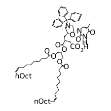 CCCCCCCC/C=C\CCCCCCCC(=O)OCC(COC(=O)CCCCCCC/C=C\CCCCCCCC)OC(=O)C(CC(=O)O)C[C@H]1CN(C(c2ccccc2)(c2ccccc2)c2ccccc2)C[C@H](n2cc(C)c(=O)[nH]c2=O)O1